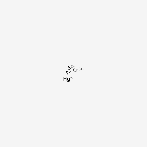 [Cr+3].[Hg+].[S-2].[S-2]